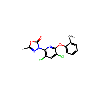 COc1ccccc1Oc1nc(-n2nc(C(C)(C)C)oc2=O)c(Cl)cc1Cl